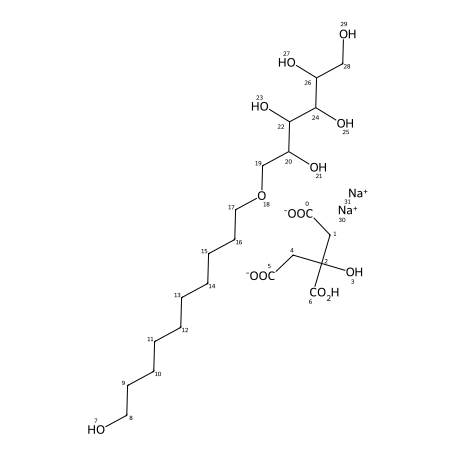 O=C([O-])CC(O)(CC(=O)[O-])C(=O)O.OCCCCCCCCCCOCC(O)C(O)C(O)C(O)CO.[Na+].[Na+]